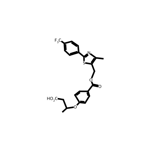 Cc1nc(-c2ccc(C(F)(F)F)cc2)sc1COC(=O)c1ccc(OC(C)CC(=O)O)cc1